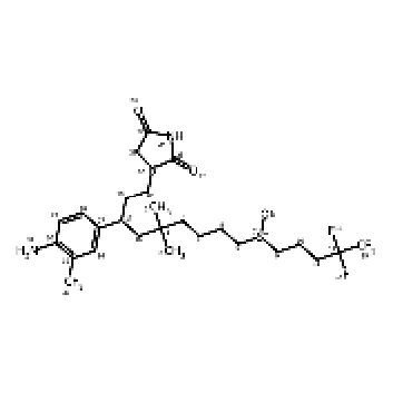 CC(C)(CCCC[S+]([O-])CCCC(F)(F)C(F)(F)F)CC(CCN1CC(=O)NC1=O)c1ccc(N)c(C(F)(F)F)c1